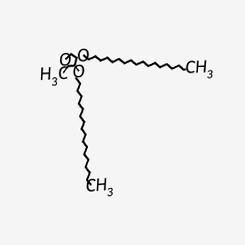 CCCCCCCCCCCCCCCCCCO[C@@H]1[C@@H](OCCCCCCCCCCCCCCCCCC)CO[C@@H]1C